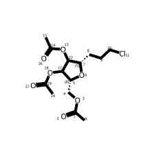 CC(=O)OC[C@H]1O[C@@H](CCCCl)C(OC(C)=O)C1OC(C)=O